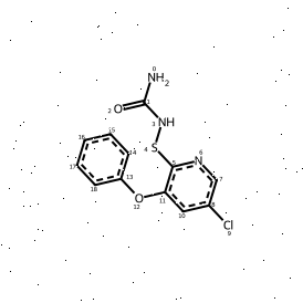 NC(=O)NSc1ncc(Cl)cc1Oc1ccccc1